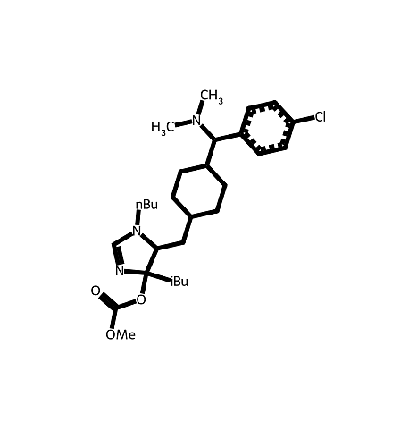 CCCCN1C=NC(OC(=O)OC)(C(C)CC)C1CC1CCC(C(c2ccc(Cl)cc2)N(C)C)CC1